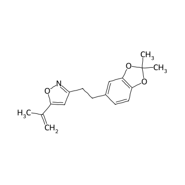 C=C(C)c1cc(CCc2ccc3c(c2)OC(C)(C)O3)no1